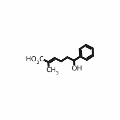 CC(=CCCC(O)c1ccccc1)C(=O)O